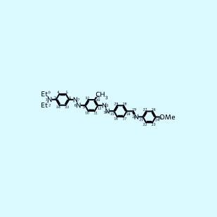 CCN(CC)c1ccc(N=Nc2ccc(N=Nc3ccc(C=Nc4ccc(OC)cc4)cc3)c(C)c2)cc1